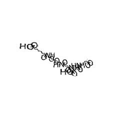 C[C@@H](CCCCNC(=O)CC[C@H](NC(=O)CCC(=O)NCCOCCOCCNC(=O)CCCCCCC(=O)O)C(=O)O)C(=O)O